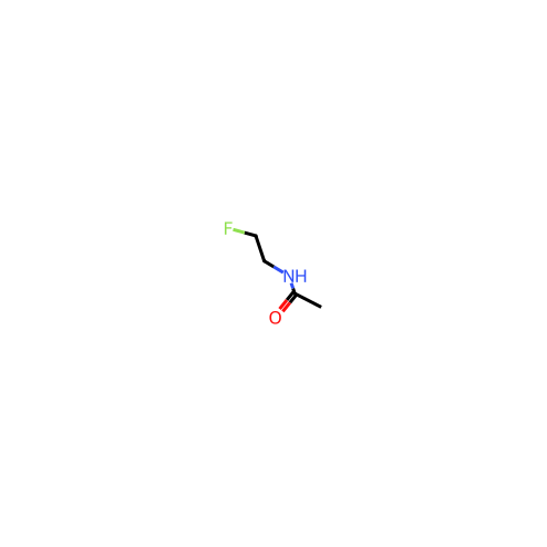 CC(=O)NCCF